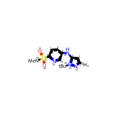 [2H]c1cc(Nc2ccc(S(=O)(=O)NC)nc2)n(C(C)(C)C)n1